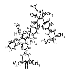 CNc1c(C(=O)NC2CC2)c2nc3ccc(CC(C)Nc4c(C(=O)NC5CC5)c5nc6ccccc6n5c5nc(N6CC(C)NC(C)C6)ncc45)cc3n2c2nc(N3CC(C)NC(C)C3)ncc12